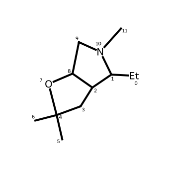 CCC1C2CC(C)(C)OC2CN1C